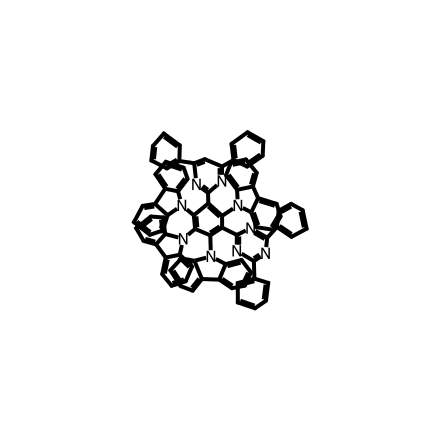 c1ccc(-c2cc(-c3ccccc3)nc(-c3c(-n4c5ccccc5c5ccccc54)c(-c4nc(-c5ccccc5)nc(-c5ccccc5)n4)c(-n4c5ccccc5c5ccccc54)c(-n4c5ccccc5c5ccccc54)c3-n3c4ccccc4c4ccccc43)n2)cc1